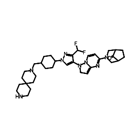 O=C1C2CCC1CN(C1=NC3=CCN(c4cn(C5CCC(CN6CCC7(CCNCC7)CC6)CC5)nc4C(F)F)N3C=C1)C2